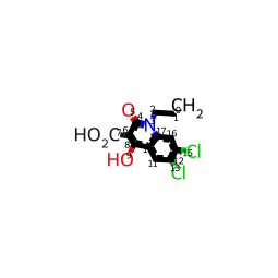 C=CCn1c(=O)c(C(=O)O)c(O)c2cc(Cl)c(Cl)cc21